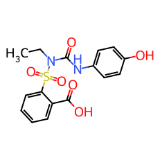 CCN(C(=O)Nc1ccc(O)cc1)S(=O)(=O)c1ccccc1C(=O)O